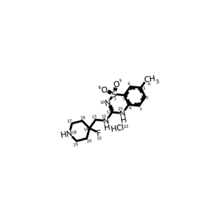 Cc1ccc2c(c1)S(=O)(=O)N=C(NCC1(F)CCNCC1)N2.Cl